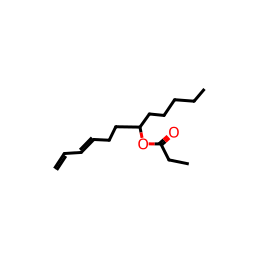 C=CC=CCCC(CCCCC)OC(=O)CC